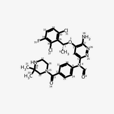 C[C@@H](Oc1cc(N(C=O)c2ccc(C(=O)N3CCNC(C)(C)C3)cc2)nnc1N)c1c(Cl)ccc(F)c1Cl